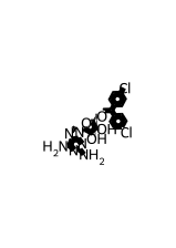 Nc1nc(N)c2ncn([C@@H]3O[C@H](COCC(c4ccc(Cl)cc4)c4ccc(Cl)cc4)[C@@H](O)[C@H]3O)c2n1